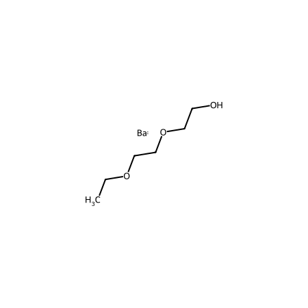 CCOCCOCCO.[Ba]